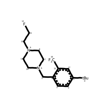 CC(C)(C)c1ccc(CN2CCN(CCF)CC2)c(C(F)(F)F)c1